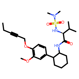 CCC#CCOc1ccc(C2CCCCC2NC(=O)[C@@H](NS(=O)(=O)N(C)C)C(C)C)cc1OC